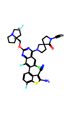 C#CN1CCC2(CCN(c3nc(OC[C@@]45CCCN4C[C@H](F)C5)nc4c(F)c(-c5ccc(F)c6sc(N)c(C#N)c56)c(Cl)cc34)C2)C1=O